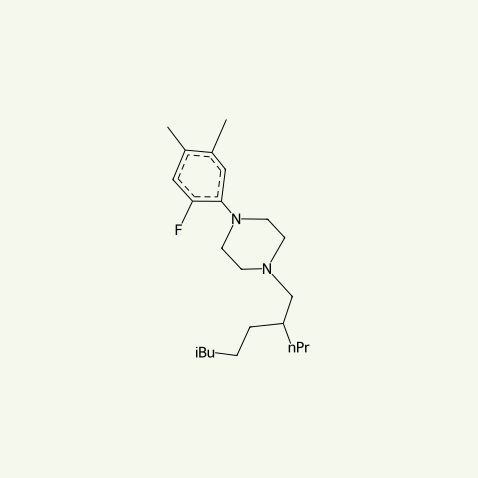 CCCC(CCC(C)CC)CN1CCN(c2cc(C)c(C)cc2F)CC1